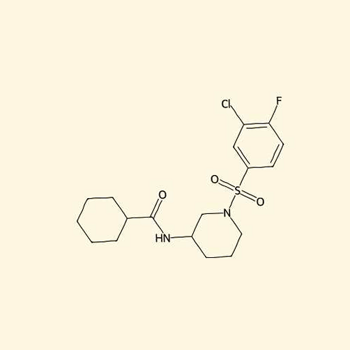 O=C(NC1CCCN(S(=O)(=O)c2ccc(F)c(Cl)c2)C1)C1CCCCC1